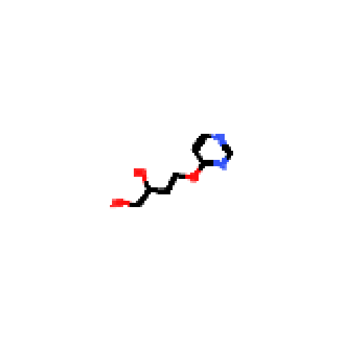 OCC(O)CCOc1ccncn1